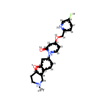 CC(C)N1CCc2oc3cc(-n4ccc(OCc5ccc(F)cn5)cc4=O)ccc3c2C1